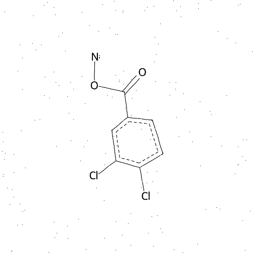 [N]OC(=O)c1ccc(Cl)c(Cl)c1